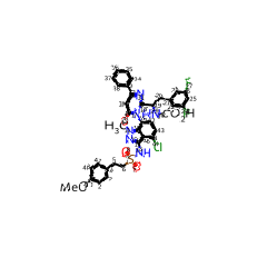 COc1ccc(CCS(=O)(=O)Nc2nn(C)c3c(-n4c(C(Cc5cc(F)cc(F)c5)NC(=O)O)nc(-c5ccccc5)cc4=O)ccc(Cl)c23)cc1